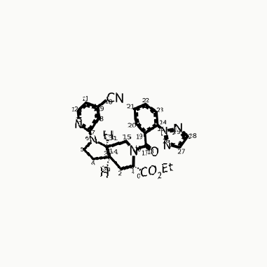 CCOC(=O)[C@@H]1C[C@H]2CCN(c3cc(C#N)ccn3)[C@H]2CN1C(=O)c1ccccc1-n1nccn1